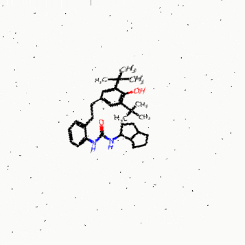 CC(C)(C)c1cc(CCc2ccccc2NC(=O)NC2CCC3CCCC32)cc(C(C)(C)C)c1O